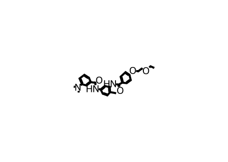 CCOCCOc1ccc(C(=O)Nc2cc(NC(=O)c3cccc(N(C)C)c3)ccc2C)cc1